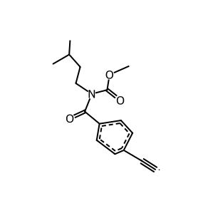 [C]#Cc1ccc(C(=O)N(CCC(C)C)C(=O)OC)cc1